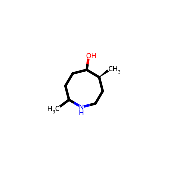 CC1CCC(O)[C@@H](C)CCN1